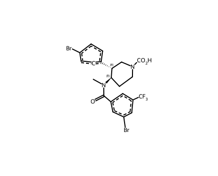 CN(C(=O)c1cc(Br)cc(C(F)(F)F)c1)[C@@H]1CCN(C(=O)O)C[C@H]1c1ccc(Br)cc1